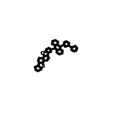 c1ccc(-c2cccc(-c3c4ccccc4c(-c4ccc5oc6c(ccc7c6ccc6c8ccccc8sc67)c5c4)c4ccccc34)c2)cc1